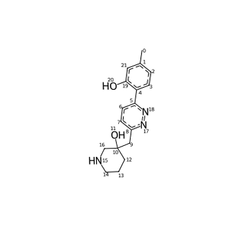 Cc1ccc(-c2ccc(CC3(O)CCCNC3)nn2)c(O)c1